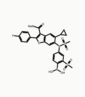 CNC(=O)c1c(-c2ccc(F)cc2)oc2cc(N(c3ccc(B(O)O)c(S(C)(=O)=O)c3)S(C)(=O)=O)c(C3CC3)cc12